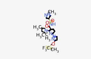 C[C@@H]1CN(c2nc(-n3ccc(OC[SH](C)C(F)(F)F)n3)ccc2C(=O)NS(=O)(=O)c2cnn(C)c2)C(C)(C)C1